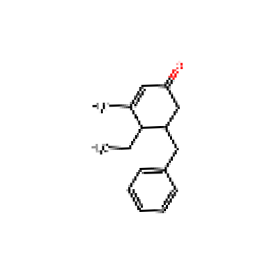 CCC1C(C)=CC(=O)CC1Cc1ccccc1